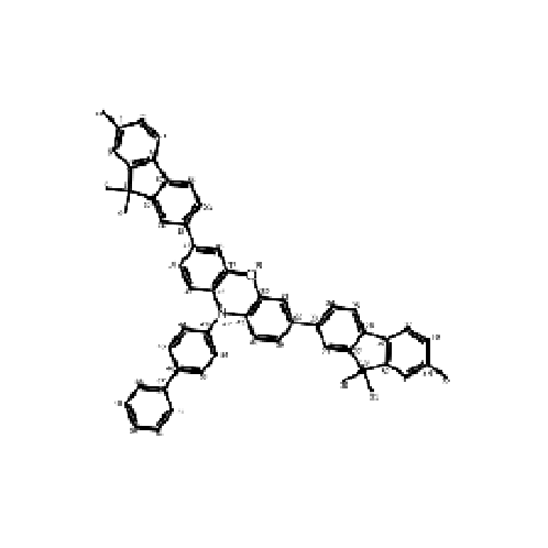 Cc1ccc2c(c1)C(C)(C)c1cc(-c3ccc4c(c3)Oc3cc(-c5ccc6c(c5)C(C)(C)c5cc(C)ccc5-6)ccc3N4c3ccc(-c4ccccc4)cc3)ccc1-2